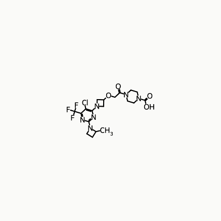 CC1CCN1c1nc(N2CC(OCC(=O)N3CCN(C(=O)O)CC3)C2)c(Cl)c(C(F)(F)F)n1